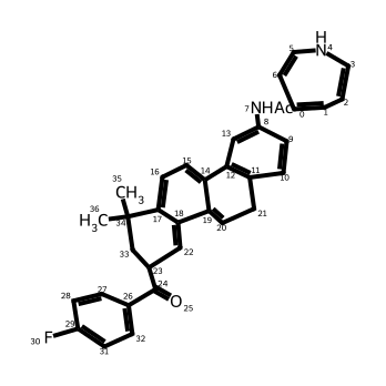 C1=CC=CNC=C1.CC(=O)Nc1ccc2c(c1)-c1ccc3c(c1=CC2)=CC(C(=O)c1ccc(F)cc1)CC3(C)C